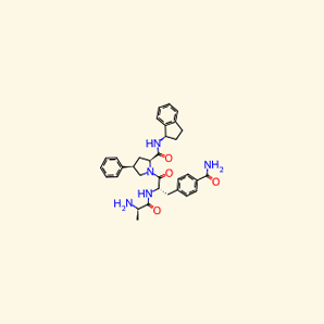 C[C@@H](N)C(=O)N[C@@H](Cc1ccc(C(N)=O)cc1)C(=O)N1C[C@@H](c2ccccc2)C[C@H]1C(=O)N[C@@H]1CCc2ccccc21